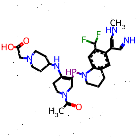 CN/C=C(\C=N)c1cc2c(cc1C(F)F)N(PC1=C(NC3CCN(CC(=O)O)CC3)CCN(C(C)=O)C1)CCC2